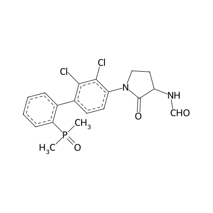 CP(C)(=O)c1ccccc1-c1ccc(N2CCC(NC=O)C2=O)c(Cl)c1Cl